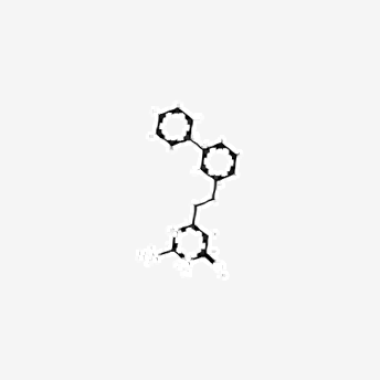 Nc1nc(CCc2cccc(-c3ccccc3)c2)cc(=O)[nH]1